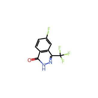 O=c1[nH]nc(C(F)(F)F)c2cc(F)ccc12